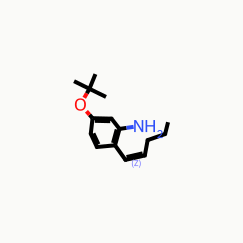 CCC/C=C\c1ccc(OC(C)(C)C)cc1N